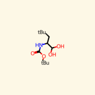 CC(C)(C)CC(NC(=O)OC(C)(C)C)C(O)O